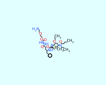 CCCCC(=O)N(CCC)C(CC(OCCC)c1nc(C(=O)NC(CCC(=O)NNC(=O)OCCOCCN)Cc2ccccc2)cs1)C(C)C